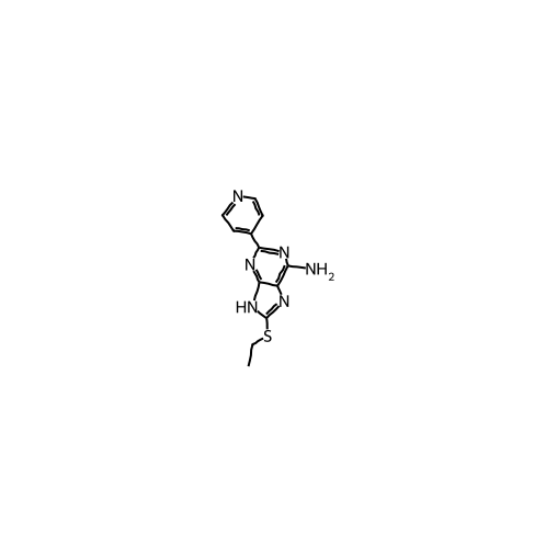 CCSc1nc2c(N)nc(-c3ccncc3)nc2[nH]1